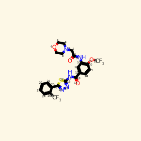 O=C(CN1CCOCC1)Nc1cc(C(=O)Nc2nnc(-c3ccccc3C(F)(F)F)s2)ccc1OC(F)(F)F